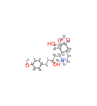 COc1ccc(CCC(O)CC2c3c(cc4c(c3CO)OCO4)CC[N+]2(C)C)cc1